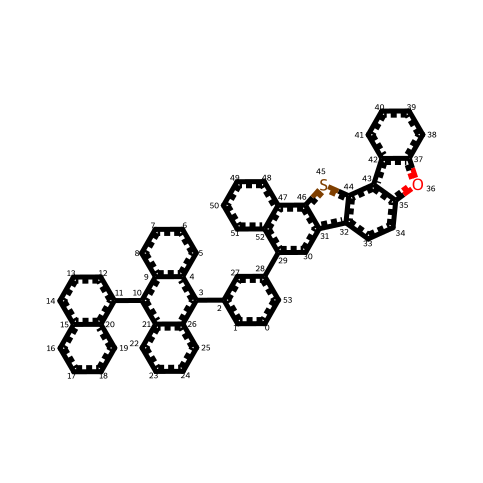 c1cc(-c2c3ccccc3c(-c3cccc4ccccc34)c3ccccc23)cc(-c2cc3c4ccc5oc6ccccc6c5c4sc3c3ccccc23)c1